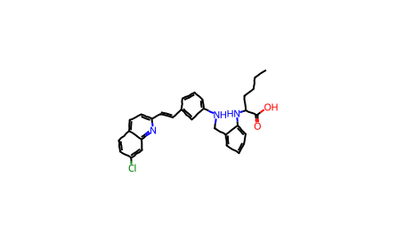 CCCCC(Nc1ccccc1CNc1cccc(C=Cc2ccc3ccc(Cl)cc3n2)c1)C(=O)O